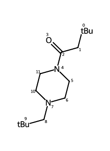 CC(C)(C)CC(=O)N1CCN(CC(C)(C)C)CC1